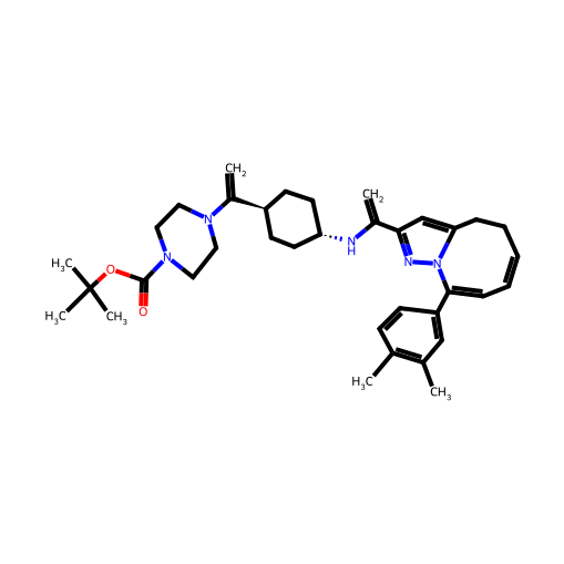 C=C(N[C@H]1CC[C@H](C(=C)N2CCN(C(=O)OC(C)(C)C)CC2)CC1)c1cc2n(n1)/C(c1ccc(C)c(C)c1)=C\C=C/CC2